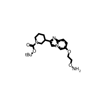 CC(C)(C)OC(=O)N1CCCC(c2cn3cc(OCCON)ccc3n2)C1